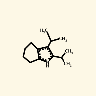 CC(C)c1[nH]c2c(c1C(C)C)CCCC2